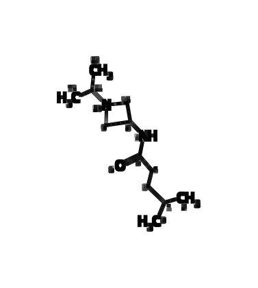 CC(C)CCC(=O)NC1CN(C(C)C)C1